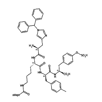 CCCCCCCC(=O)NCCCC[C@H](NC(=O)[C@@H](N)Cc1cn(C(c2ccccc2)c2ccccc2)cn1)C(=O)N[C@H](Cc1ccc(C)cc1)C(=O)N[C@@H](Cc1ccc(OS(=O)(=O)O)cc1)C(=O)O